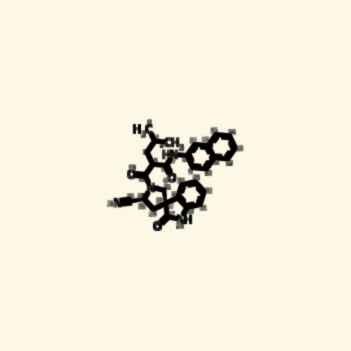 CC(C)CC(C(=O)Nc1ccc2ccccc2c1)C(=O)N1C[C@]2(C[C@H]1C#N)C(=O)Nc1ccccc12